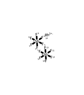 [F][Sb-]([F])([F])([F])([F])[F].[F][Sb-]([F])([F])([F])([F])[F].[Rh+2]